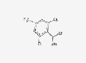 CCCC(CC)c1c(Cl)cc(C(F)(F)F)cc1C#N